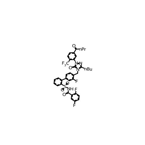 CCCCc1nn(-c2cc(C(=O)CCC)ccc2C(F)(F)F)c(=O)n1Cc1ccc(-c2ccccc2S(=O)(=O)NC(=O)c2cc(F)ccc2F)cc1F